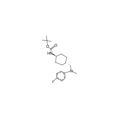 CN(C[C@H]1CC[C@H](NC(=O)OC(C)(C)C)CC1)c1ccc(I)cc1